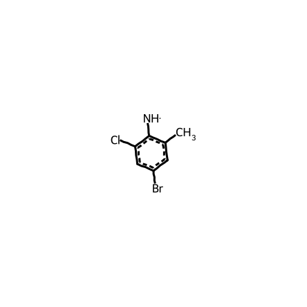 Cc1cc(Br)cc(Cl)c1[NH]